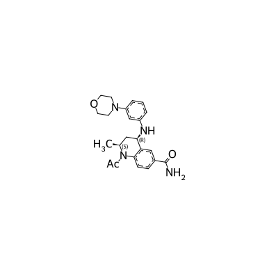 CC(=O)N1c2ccc(C(N)=O)cc2[C@H](Nc2cccc(N3CCOCC3)c2)C[C@@H]1C